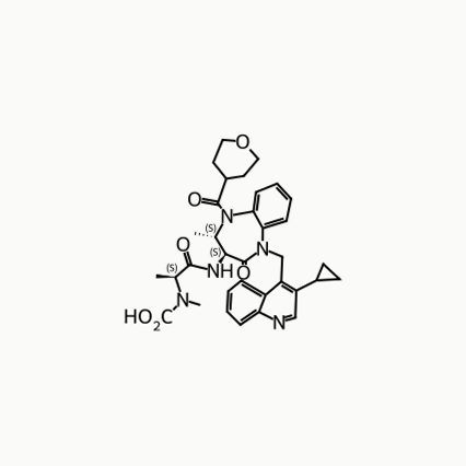 C[C@@H](C(=O)N[C@@H]1C(=O)N(Cc2c(C3CC3)cnc3ccccc23)c2ccccc2N(C(=O)C2CCOCC2)[C@H]1C)N(C)C(=O)O